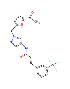 CC(=O)c1ccc(Cn2cc(NC(=O)/C=C/c3cccc(C(F)(F)F)c3)cn2)o1